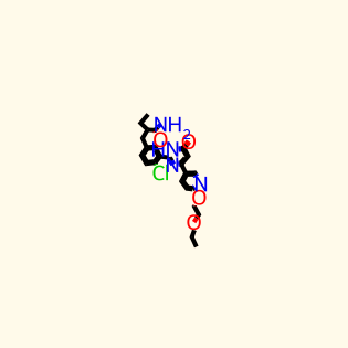 CCCOCCOc1ccc(-c2cc(=O)[nH]c(-c3cc(CC(CC)C(N)=O)ccc3Cl)n2)cn1